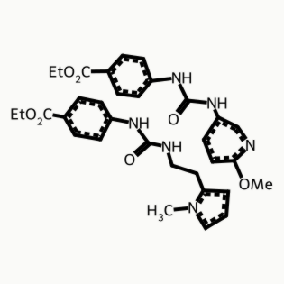 CCOC(=O)c1ccc(NC(=O)NCCc2cccn2C)cc1.CCOC(=O)c1ccc(NC(=O)Nc2ccc(OC)nc2)cc1